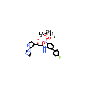 CC(C)(C)OC(=O)Nc1ccc(-c2ccc(F)cc2)cc1NC(=O)CC(=O)c1ccnc(-n2ccnc2)c1